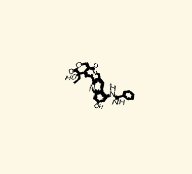 CCC1(O)C(=O)OCc2c1cc1n(c2=O)Cc2cc3c(NC(=N)c4ccccc4)cc(O)cc3nc2-1